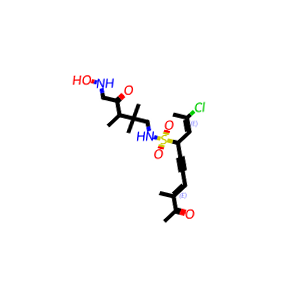 CC(=O)/C(C)=C/C#CC(/C=C(\C)Cl)S(=O)(=O)NCC(C)(C)C(C)C(=O)CNO